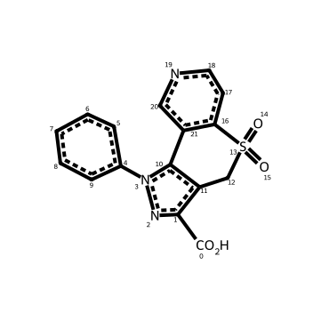 O=C(O)c1nn(-c2ccccc2)c2c1CS(=O)(=O)c1ccncc1-2